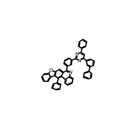 c1ccc(-c2cccc(-c3cc(-c4ccccc4)nc(-c4cccc(-c5nc6ccccc6c6c(-c7ccccc7)c7c(cc56)oc5ccccc57)c4)n3)c2)cc1